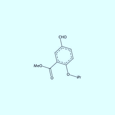 COC(=O)c1cc(C=O)ccc1OC(C)C